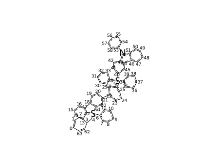 C1=CCC(CS2(c3ccccc3)c3ccccc3-c3ccc(-c4cccc(S(c5ccccc5)(c5ccccc5)c5ccc6c(c5)c5ccccc5n6-c5ccccc5)c4)cc32)C=C1